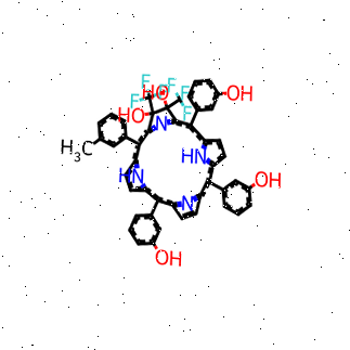 Cc1cccc(-c2c3nc(c(-c4cccc(O)c4)c4ccc([nH]4)c(-c4cccc(O)c4)c4nc(c(-c5cccc(O)c5)c5ccc2[nH]5)C=C4)C(O)(C(F)(F)F)C3(O)C(F)(F)F)c1